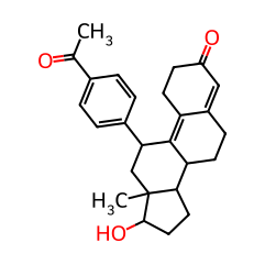 CC(=O)c1ccc(C2CC3(C)C(O)CCC3C3CCC4=CC(=O)CCC4=C23)cc1